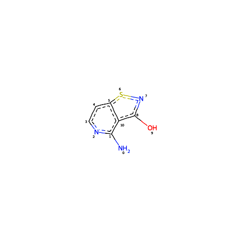 Nc1nccc2snc(O)c12